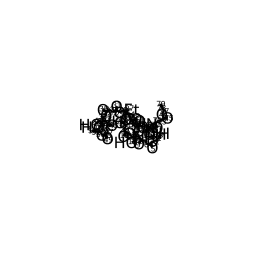 C#CCOC(=O)CCC(=O)NC(CO)(CO)COC(=O)CCC(=O)OCC(CC)(COC(=O)CCC(=O)OCC(CO)(CO)NC(=O)CCC(=O)OCC#C)COC(=O)CCC(=O)OCC(CO)(CO)NC(=O)CCC(=O)OCC#C